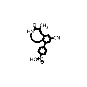 C/C1=C\c2cc(C#N)cc(-c3ccc([N+](=O)O)cc3)c2CCCCNC1=O